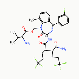 Cc1cccc2c1N(COC(=O)C(N)C(C)C)C(=O)[C@@H](NC(=O)C(CCC(F)(F)F)C(CCC(F)(F)F)C(N)=O)N=C2c1cccc(F)c1